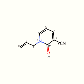 C=CCn1cccc(C#N)c1=O